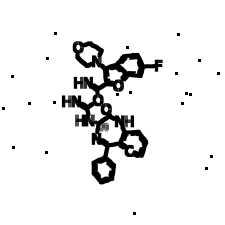 N=C(N[C@H]1N=C(c2ccccc2)c2ccccc2NC1=O)OC(=N)c1oc2cc(F)ccc2c1N1CCOCC1